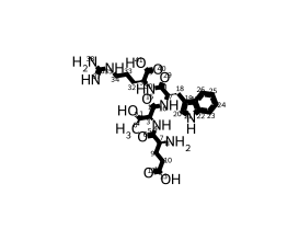 C[C@@H](O)[C@H](NC(=O)[C@@H](N)CCC(=O)O)C(=O)N[C@@H](Cc1c[nH]c2ccccc12)C(=O)N[C@@H](CCCNC(=N)N)C(=O)O